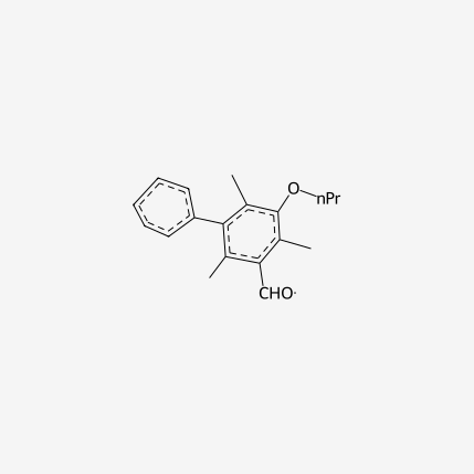 CCCOc1c(C)c([C]=O)c(C)c(-c2ccccc2)c1C